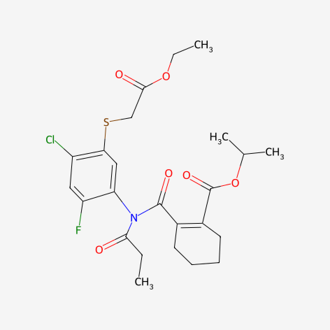 CCOC(=O)CSc1cc(N(C(=O)CC)C(=O)C2=C(C(=O)OC(C)C)CCCC2)c(F)cc1Cl